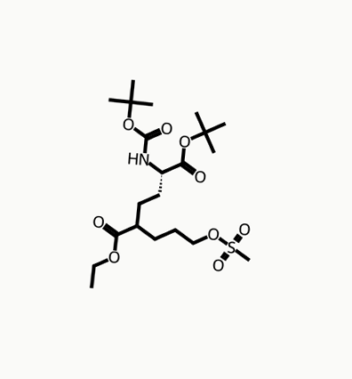 CCOC(=O)C(CCCOS(C)(=O)=O)CC[C@H](NC(=O)OC(C)(C)C)C(=O)OC(C)(C)C